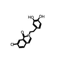 O=c1c2cc(Cl)ccc2ccn1CCc1ccc(O)c(O)c1